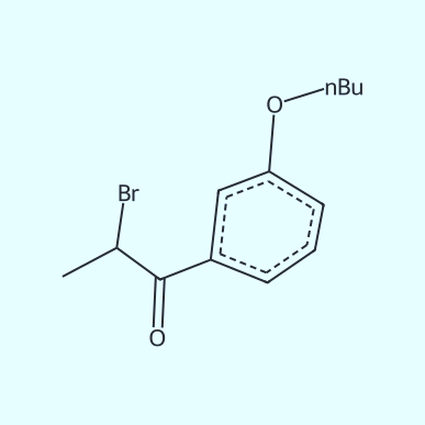 CCCCOc1cccc(C(=O)C(C)Br)c1